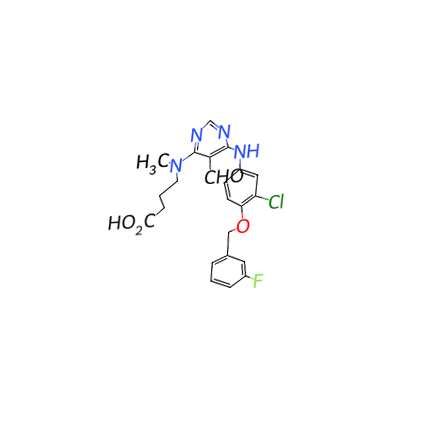 CN(CCCC(=O)O)c1ncnc(Nc2ccc(OCc3cccc(F)c3)c(Cl)c2)c1C=O